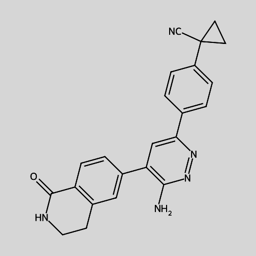 N#CC1(c2ccc(-c3cc(-c4ccc5c(c4)CCNC5=O)c(N)nn3)cc2)CC1